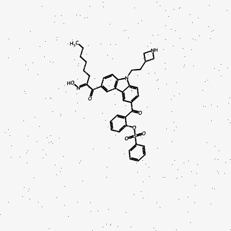 CCCCCC/C(=N\O)C(=O)c1ccc2c(c1)c1cc(C(=O)c3ccccc3OS(=O)(=O)c3ccccc3)ccc1n2CCC1CNC1